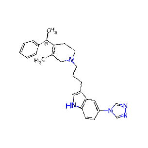 CC1=C([C@H](C)c2ccccc2)CCN(CCCc2c[nH]c3ccc(-n4cnnc4)cc23)C1